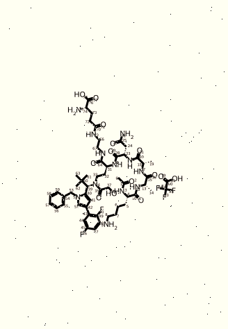 CC(=O)N[C@@H](CCCCN)C(=O)N[C@@H](C)C(=O)N[C@@H](C)C(=O)N[C@@H](CC(N)=O)C(=O)N[C@@H](CCN(C(=O)CO)[C@@H](c1cc(-c2cc(F)ccc2F)cn1Cc1ccccc1)C(C)(C)C)C(=O)NCCNC(=O)CC[C@H](N)C(=O)O.O=C(O)C(F)(F)F